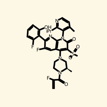 C=C(F)C(=O)N1CCN(c2c(S(C)(=O)=O)c(=O)n(-c3c(C)ccnc3C(C)C)c3nc(-c4c(O)cccc4F)c(F)cc23)C[C@H]1C